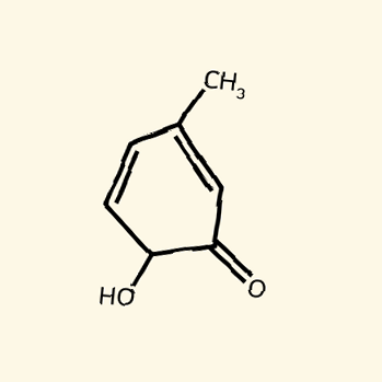 CC1=CC(=O)C(O)C=C1